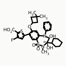 CN1[C@@](O)(C2CCCCC2)C(O)N(c2ccccc2)c2cc(OC3CC(C)(C)C3)c(-c3cc(F)c(C(=O)O)s3)cc2S1(=O)=O